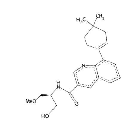 COC[C@H](CO)NC(=O)c1cnc2c(C3=CCC(C)(C)CC3)cccc2c1